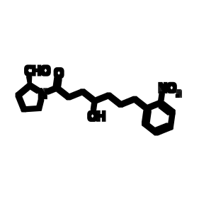 O=C[C@@H]1CCCN1C(=O)CCC(O)CCCc1ccccc1[N+](=O)[O-]